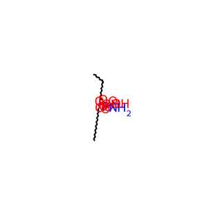 CCCCC/C=C\CCCCCCCC(=O)O[C@H](COCCCCCCCCCCCCCCCC)COP(=O)(O)OC[C@H](N)C(=O)O